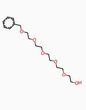 OCCOCCOCCOCCOCCOCc1ccccc1